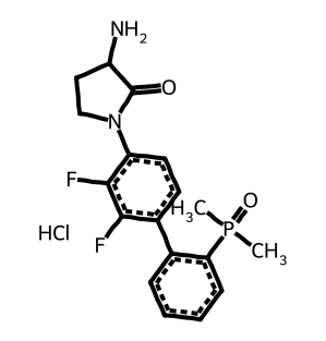 CP(C)(=O)c1ccccc1-c1ccc(N2CCC(N)C2=O)c(F)c1F.Cl